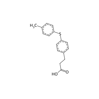 Cc1ccc(Sc2ccc(CCC(=O)O)cc2)cc1